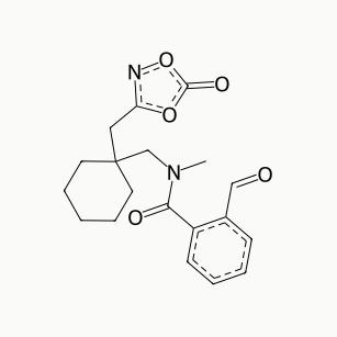 CN(CC1(Cc2noc(=O)o2)CCCCC1)C(=O)c1ccccc1C=O